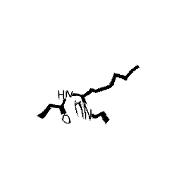 C=CC(=O)NC(CCCCC)NCC